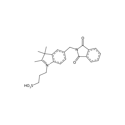 CC1=[N+](CCCS(=O)(=O)O)c2ccc(CN3C(=O)c4ccccc4C3=O)cc2C1(C)C